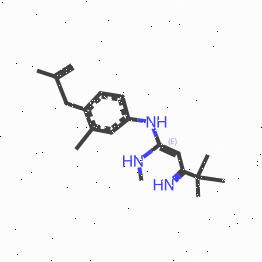 C=C(C)Cc1ccc(N/C(=C/C(=N)C(C)(C)C)NC)cc1C